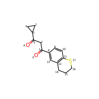 O=C(CC(=O)C1CC1)c1ccc2c(c1)CCCS2